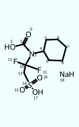 O=C(O)N(C1CCCCC1)C(F)(F)CS(=O)(=O)O.[NaH]